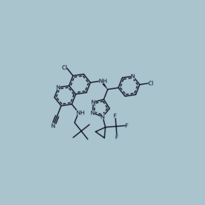 CC(C)(C)CNc1c(C#N)cnc2c(Cl)cc(N[C@@H](c3ccc(Cl)nc3)c3cn(C4(C(F)(F)F)CC4)nn3)cc12